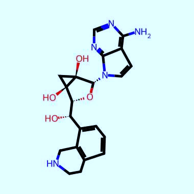 Nc1ncnc2c1ccn2[C@@H]1O[C@H]([C@@H](O)c2cccc3c2CNCC3)[C@]2(O)C[C@]12O